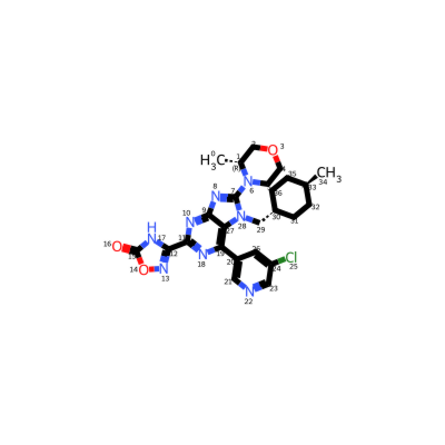 C[C@@H]1COCCN1c1nc2nc(-c3noc(=O)[nH]3)nc(-c3cncc(Cl)c3)c2n1C[C@H]1CC[C@H](C)CC1